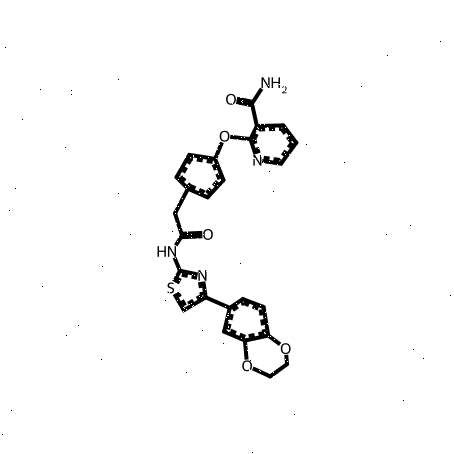 NC(=O)c1cccnc1Oc1ccc(CC(=O)Nc2nc(-c3ccc4c(c3)OCCO4)cs2)cc1